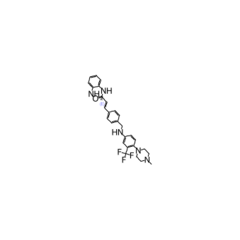 CN1CCN(c2ccc(NCc3ccc(/C=C/C(=O)Nc4ccccc4N)cc3)cc2C(F)(F)F)CC1